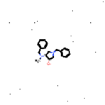 CN(Cc1ccccc1)[C@H]1CN(Cc2ccccc2)C[C@@H]1O